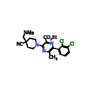 CCOC(=O)c1nc(-c2cccc(Cl)c2Cl)c(C)nc1N1CCC(C#N)(CNC)CC1